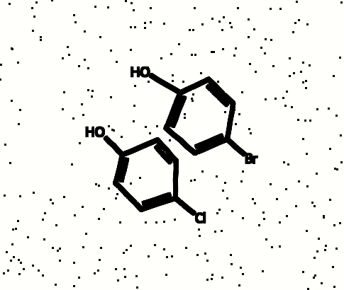 Oc1ccc(Br)cc1.Oc1ccc(Cl)cc1